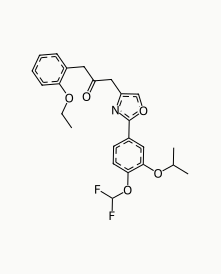 CCOc1ccccc1CC(=O)Cc1coc(-c2ccc(OC(F)F)c(OC(C)C)c2)n1